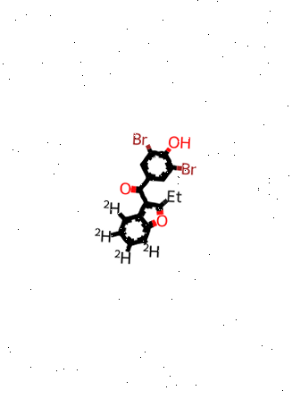 [2H]c1c([2H])c([2H])c2c(C(=O)c3cc(Br)c(O)c(Br)c3)c(CC)oc2c1[2H]